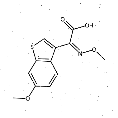 CON=C(C(=O)O)c1csc2cc(OC)ccc12